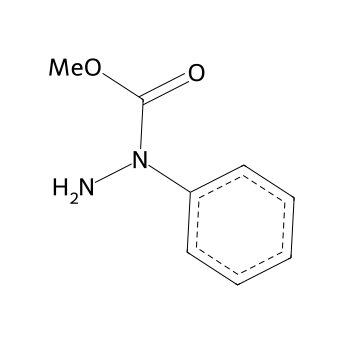 COC(=O)N(N)c1ccccc1